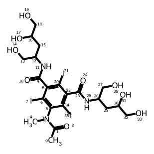 CC(=O)N(C)c1c(I)c(C(=O)NC(CO)CC(O)CO)c(I)c(C(=O)NC(CO)CC(O)CO)c1I